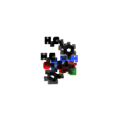 CCCc1cccc(NC(N=C2C(=O)N(c3ccccc3F)C(=O)N2C)C(Br)(Br)CCl)c1